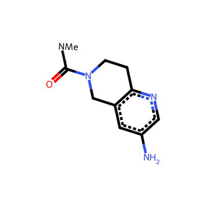 CNC(=O)N1CCc2ncc(N)cc2C1